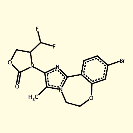 Cc1c(N2C(=O)OCC2C(F)F)nc2n1CCOc1cc(Br)ccc1-2